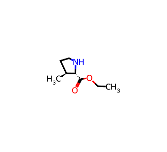 CCOC(=O)[C@H]1NCC[C@@H]1C